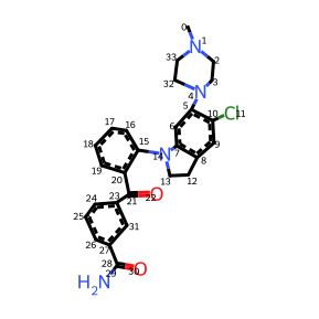 CN1CCN(c2cc3c(cc2Cl)CCN3c2ccccc2C(=O)c2cccc(C(N)=O)c2)CC1